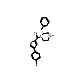 O=C(c1cc(-c2ccc(Cl)cc2)cs1)N1CCNC[C@H]1Cc1ccccc1